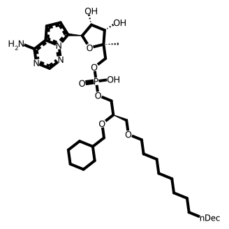 CCCCCCCCCCCCCCCCCCOC[C@H](COP(=O)(O)OC[C@@]1(C)O[C@@H](c2ccc3c(N)ncnn23)[C@H](O)[C@@H]1O)OCC1CCCCC1